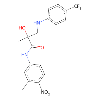 Cc1cc(NC(=O)C(C)(O)CNc2ccc(C(F)(F)F)cc2)ccc1[N+](=O)[O-]